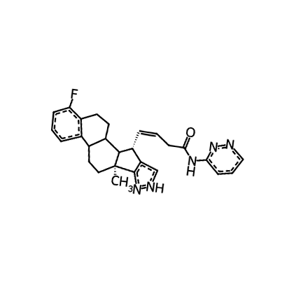 C[C@]12CCC3c4cccc(F)c4CCC3C1[C@H](/C=C\CC(=O)Nc1cccnn1)c1c[nH]nc12